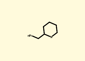 CCCCC1CCCC[N]1